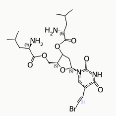 CC(C)C[C@@H](N)C(=O)OC[C@@H]1O[C@H](n2cc(/C=C/Br)c(=O)[nH]c2=O)CC1OC(=O)[C@H](N)CC(C)C